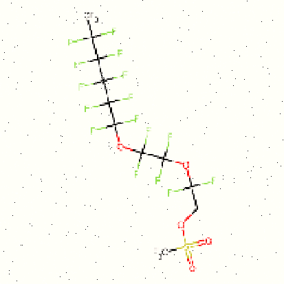 O=S(=O)(OCC(F)(F)OC(F)(F)C(F)(F)OC(F)(F)C(F)(F)C(F)(F)C(F)(F)C(F)(F)C(F)(F)F)C(F)(F)F